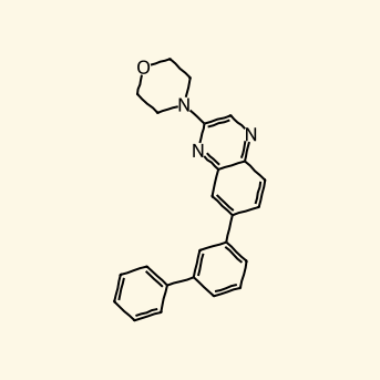 c1ccc(-c2cccc(-c3ccc4ncc(N5CCOCC5)nc4c3)c2)cc1